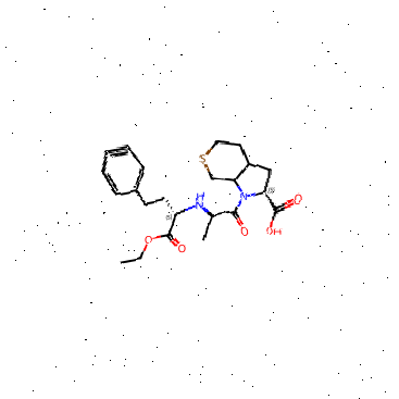 CCOC(=O)[C@H](CCc1ccccc1)NC(C)C(=O)N1C2CSCCC2C[C@H]1C(=O)O